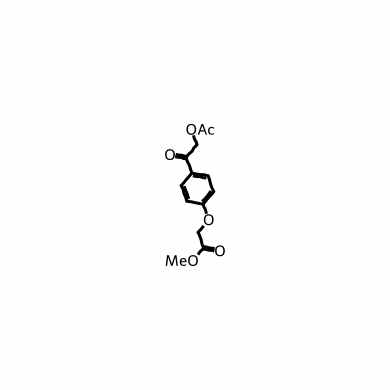 COC(=O)COc1ccc(C(=O)COC(C)=O)cc1